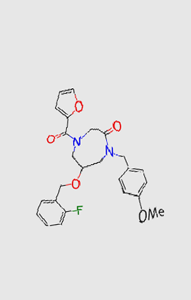 COc1ccc(CN2CC(OCc3ccccc3F)CN(C(=O)c3ccco3)CC2=O)cc1